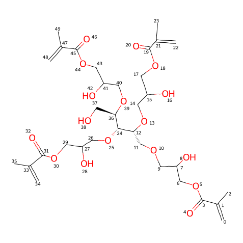 C=C(C)C(=O)OCC(O)COC[C@@H](OCC(O)COC(=O)C(=C)C)[C@H](OCC(O)COC(=O)C(=C)C)[C@@H](CO)OCC(O)COC(=O)C(=C)C